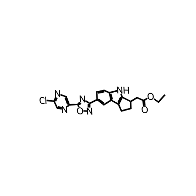 CCOC(=O)CC1CCc2c1[nH]c1ccc(-c3noc(-c4cnc(Cl)cn4)n3)cc21